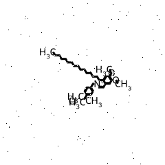 CCCCCCCCCCCCCCCc1c2cc(OC)c(OC)cc2cc[n+]1Cc1ccc(C(C)(C)C)cc1.[Cl-]